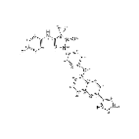 O=C(Nc1ccc(F)cc1)C1(C(=O)Nc2ccc(Oc3ccnc4cc(-c5cnc[nH]5)ccc34)cc2)CC1